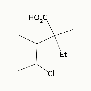 CCC(C)(C(=O)O)C(C)C(C)Cl